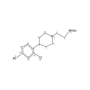 CC(=O)NCCN1CCC(c2ccc(C(C)C)cc2Cl)CC1